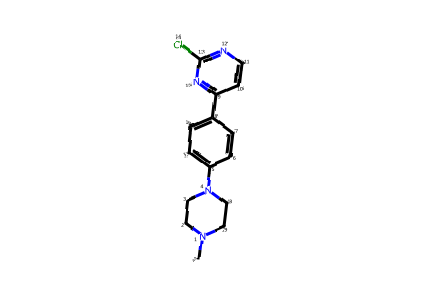 CN1CCN(c2ccc(-c3ccnc(Cl)n3)cc2)CC1